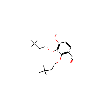 COc1ccc(C=O)c(O[SiH2]CC(C)(C)C)c1O[SiH2]CC(C)(C)C